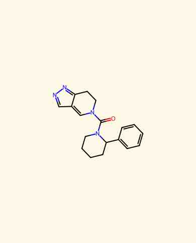 O=C(N1C=C2C=NN=C2CC1)N1CCCCC1c1ccccc1